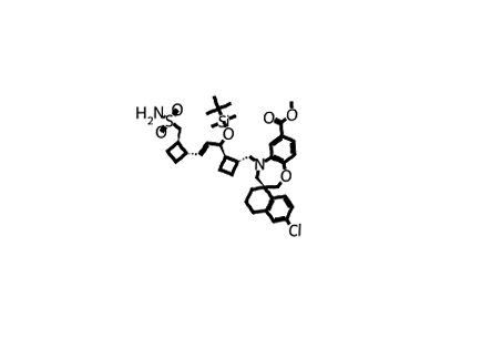 COC(=O)c1ccc2c(c1)N(C[C@@H]1CC[C@H]1C(/C=C/[C@@H]1CC[C@H]1CS(N)(=O)=O)O[Si](C)(C)C(C)(C)C)C[C@@]1(CCCc3cc(Cl)ccc31)CO2